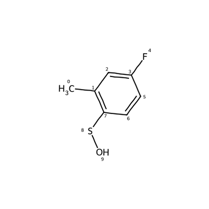 Cc1cc(F)ccc1SO